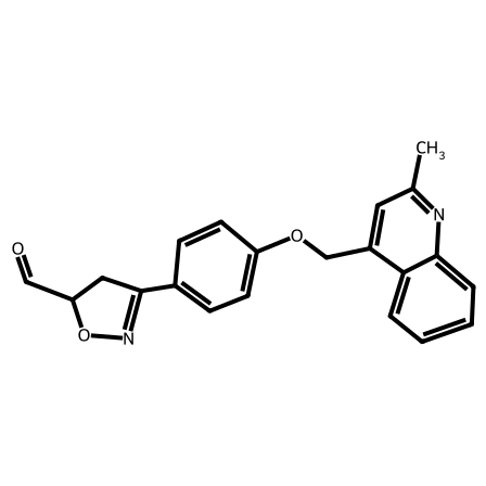 Cc1cc(COc2ccc(C3=NOC(C=O)C3)cc2)c2ccccc2n1